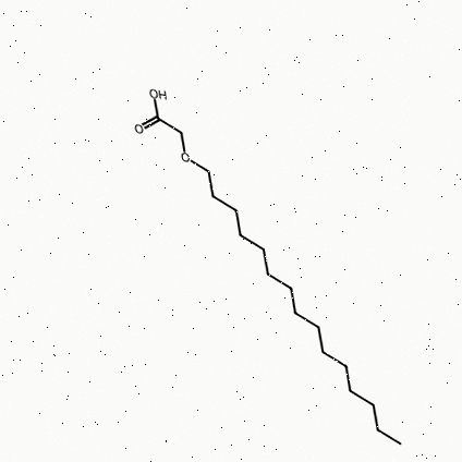 CCCCCCCCCCCCCCCOCC(=O)O